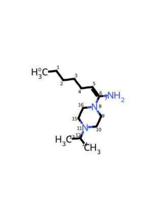 CCCCC/C=C(/N)N1CCN(C(C)C)CC1